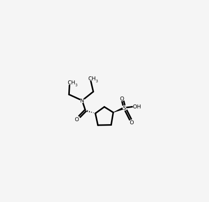 CCN(CC)C(=O)[C@H]1CC[C@H](S(=O)(=O)O)C1